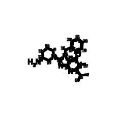 CC(C)c1nc2nc(N3CCCC(N)C3)n(Cc3ccccc3)c2c(=O)n1C